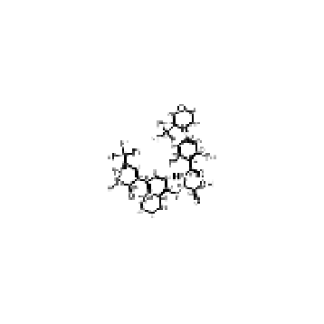 Cn1nc(C(F)(F)F)cc(-c2ccc(C[C@H](NC(=O)c3c(F)cc(N4CCOC[C@@H]4C(F)(F)F)cc3F)C(=O)O)c3c2OCCC3)c1=O